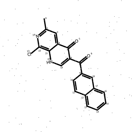 Cc1cc2c(=O)c(C(=O)c3ccc4ccccc4c3)c[nH]c2c(Cl)n1